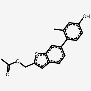 CC(=O)OCc1cc2ccc(-c3ccc(O)cc3C)cc2s1